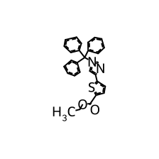 CCOC(=O)c1ccc(-c2cn(C(c3ccccc3)(c3ccccc3)c3ccccc3)cn2)s1